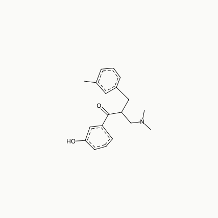 Cc1cccc(CC(CN(C)C)C(=O)c2cccc(O)c2)c1